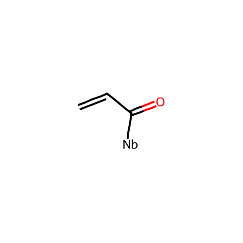 C=C[C](=O)[Nb]